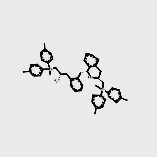 Cc1ccc([PH](I)(C[C@@H](N)Cc2ccccc2C[C@H]2N[C@H](C[PH](I)(c3ccc(C)cc3)c3ccc(C)cc3)Cc3ccccc32)c2ccc(C)cc2)cc1